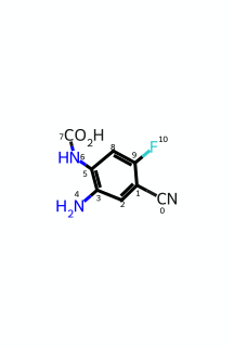 N#Cc1cc(N)c(NC(=O)O)cc1F